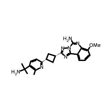 COc1cccc2c1nc(N)n1nc([C@H]3C[C@@H](c4ccc(C(C)(C)N)c(C)n4)C3)nc21